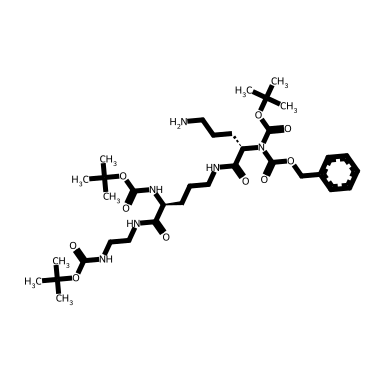 CC(C)(C)OC(=O)NCCNC(=O)[C@H](CCCNC(=O)[C@H](CCCN)N(C(=O)OCc1ccccc1)C(=O)OC(C)(C)C)NC(=O)OC(C)(C)C